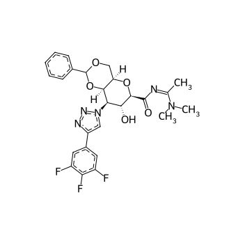 CC(=NC(=O)[C@@H]1O[C@@H]2COC(c3ccccc3)O[C@@H]2[C@H](n2cc(-c3cc(F)c(F)c(F)c3)nn2)[C@H]1O)N(C)C